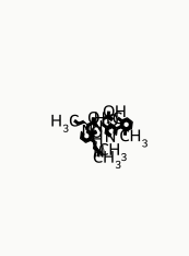 CCC[C@@H](C(=O)N[C@@H](CC(=O)O)c1cncc(-c2c(C)cccc2C)c1)n1cccc(CCN(C)C)c1=O